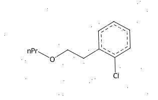 [CH2]CCOCCc1ccccc1Cl